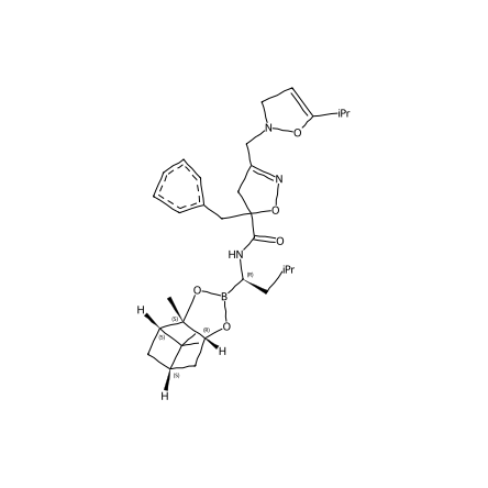 CC(C)C[C@H](NC(=O)C1(Cc2ccccc2)CC(CN2CC=C(C(C)C)O2)=NO1)B1O[C@@H]2C[C@@H]3C[C@@H](C3(C)C)[C@]2(C)O1